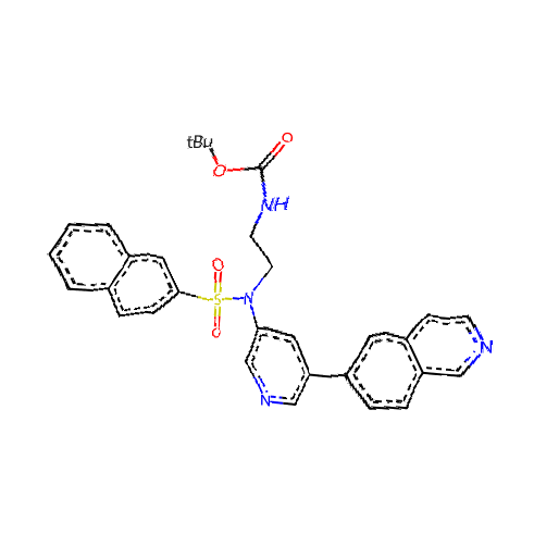 CC(C)(C)OC(=O)NCCN(c1cncc(-c2ccc3cnccc3c2)c1)S(=O)(=O)c1ccc2ccccc2c1